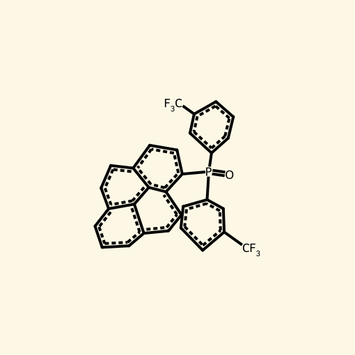 O=P(c1cccc(C(F)(F)F)c1)(c1cccc(C(F)(F)F)c1)c1ccc2ccc3cccc4ccc1c2c34